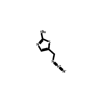 CC(C)(C)c1ncc(CN=[N+]=[N-])s1